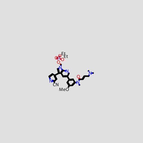 CCOP(=O)(OCC)OCn1cc(-c2ccnc(C#N)c2)c2cc(-c3cc(OC)cc(N(C)C(=O)C=CCN(C)C)c3)cnc21